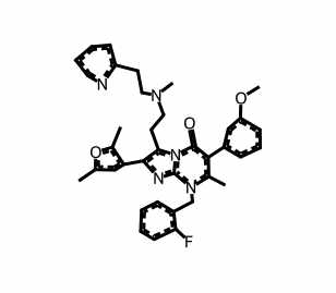 COc1cccc(-c2c(C)n(Cc3ccccc3F)c3nc(-c4cc(C)oc4C)c(CCN(C)CCc4ccccn4)n3c2=O)c1